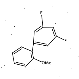 COc1[c]cccc1-c1cc(F)cc(F)c1